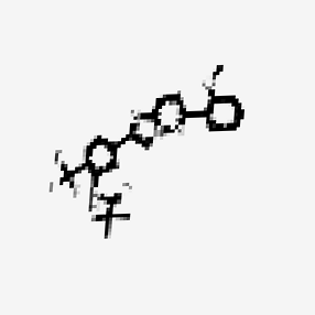 COc1ccccc1-c1ccc2nc(-c3ccc(C(F)(F)F)c(NC(=O)C(C)(C)C)c3)cn2n1